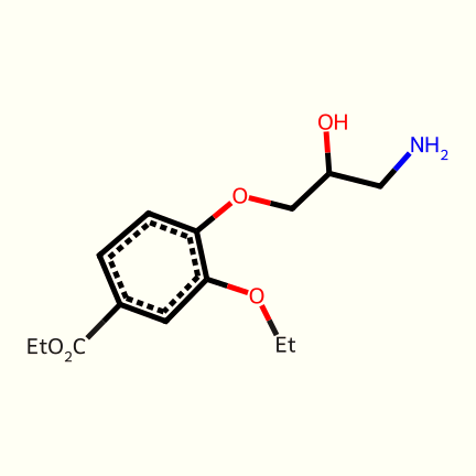 CCOC(=O)c1ccc(OCC(O)CN)c(OCC)c1